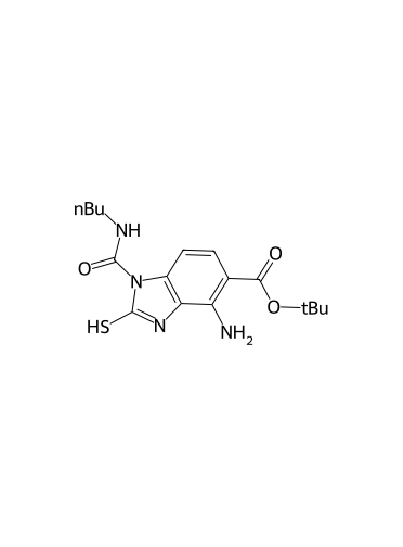 CCCCNC(=O)n1c(S)nc2c(N)c(C(=O)OC(C)(C)C)ccc21